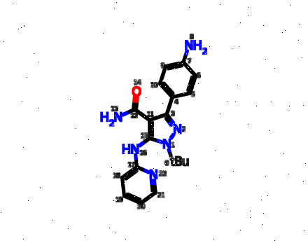 CC(C)(C)n1nc(-c2ccc(N)cc2)c(C(N)=O)c1Nc1ccccn1